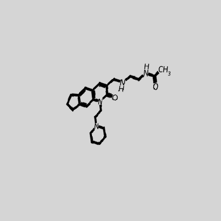 CC(=O)NCCNCc1cc2cc3c(cc2n(CCN2CCCCC2)c1=O)CCC3